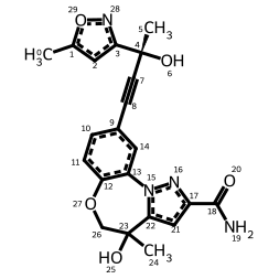 Cc1cc([C@](C)(O)C#Cc2ccc3c(c2)-n2nc(C(N)=O)cc2C(C)(O)CO3)no1